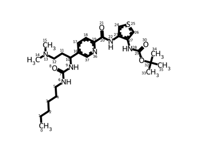 CCCCCCNC(=O)NC(CCN(C)C)c1ccc(C(=O)Nc2cscc2NC(=O)OC(C)(C)C)nc1